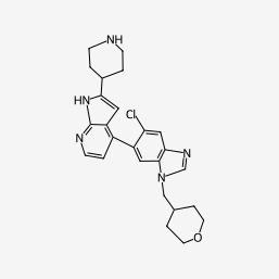 Clc1cc2ncn(CC3CCOCC3)c2cc1-c1ccnc2[nH]c(C3CCNCC3)cc12